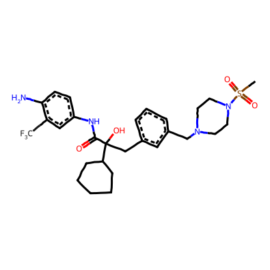 CS(=O)(=O)N1CCN(Cc2cccc(CC(O)(C(=O)Nc3ccc(N)c(C(F)(F)F)c3)C3CCCCC3)c2)CC1